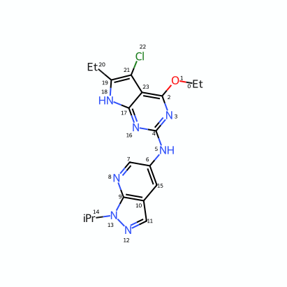 CCOc1nc(Nc2cnc3c(cnn3C(C)C)c2)nc2[nH]c(CC)c(Cl)c12